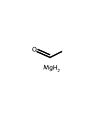 CC=O.[MgH2]